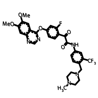 COc1cc2ncnc(Oc3ccc(C(=O)C(=O)Nc4ccc(CN5CCN(C)CC5)c(C(F)(F)F)c4)c(F)c3)c2cc1OC